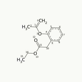 C=C(C)Oc1ccccc1CC(=O)OCC